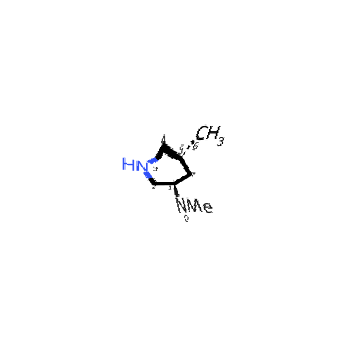 CN[C@H]1CNC[C@H](C)C1